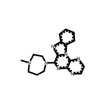 CN1CCCN(c2nc3nccnc3n3c2nc2ccccc23)CC1